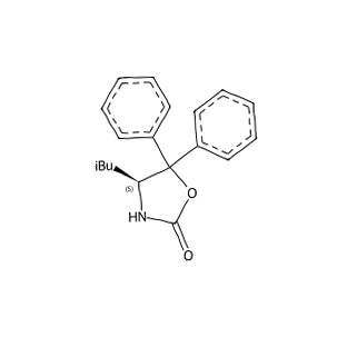 CCC(C)[C@@H]1NC(=O)OC1(c1ccccc1)c1ccccc1